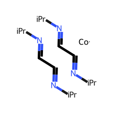 CC(C)N=CC=NC(C)C.CC(C)N=CC=NC(C)C.[Co]